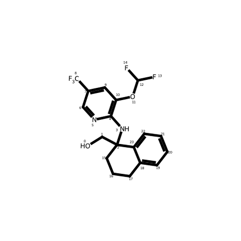 OCC1(Nc2ncc(C(F)(F)F)cc2OC(F)F)CCCc2ccccc21